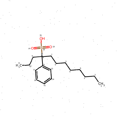 CCCCCCCCC(CCC)(c1ccccc1)S(=O)(=O)O